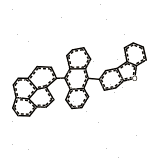 c1cc2ccc3ccc(-c4c5ccccc5c(-c5ccc6oc7ccccc7c6c5)c5ccccc45)c4ccc(c1)c2c34